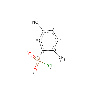 N#Cc1ccc(C(F)(F)F)c(S(=O)(=O)Cl)c1